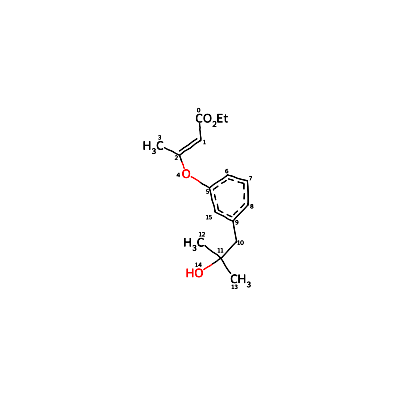 CCOC(=O)C=C(C)Oc1cccc(CC(C)(C)O)c1